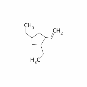 C=CC1CC(CC)CC1CC